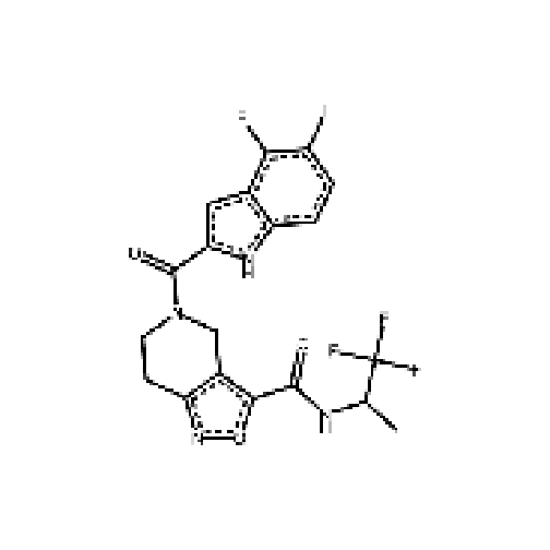 CC(NC(=O)c1onc2c1CN(C(=O)c1cc3c(F)c(F)ccc3[nH]1)CC2)C(F)(F)F